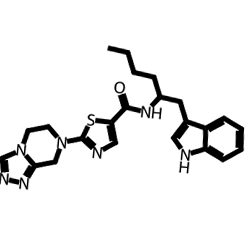 CCCCC(Cc1c[nH]c2ccccc12)NC(=O)c1cnc(N2CCn3cnnc3C2)s1